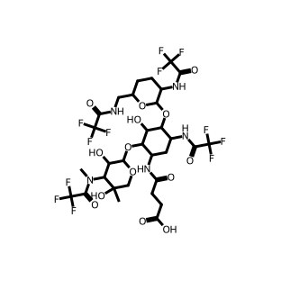 CN(C(=O)C(F)(F)F)C1C(O)C(OC2C(NC(=O)CCC(=O)O)CC(NC(=O)C(F)(F)F)C(OC3OC(CNC(=O)C(F)(F)F)CCC3NC(=O)C(F)(F)F)C2O)OCC1(C)O